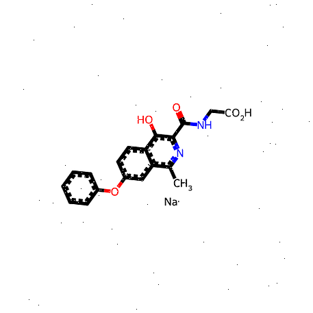 Cc1nc(C(=O)NCC(=O)O)c(O)c2ccc(Oc3ccccc3)cc12.[Na]